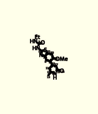 CCNC(=O)Nc1nc2cc(-c3cc(C)[nH]c(=O)c3)c(OC)cc2s1